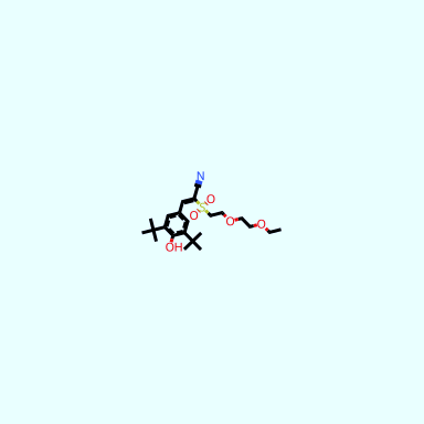 CCOCCOCCS(=O)(=O)C(C#N)=Cc1cc(C(C)(C)C)c(O)c(C(C)(C)C)c1